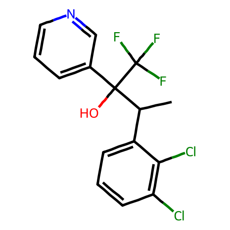 CC(c1cccc(Cl)c1Cl)C(O)(c1cccnc1)C(F)(F)F